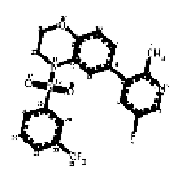 Cc1ncc(F)cc1-c1ccc2c(c1)N(S(=O)(=O)c1cccc(C(F)(F)F)c1)CCO2